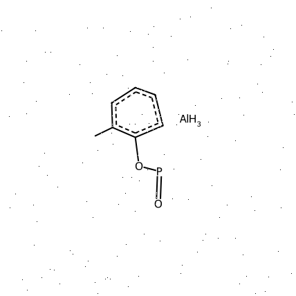 Cc1ccccc1OP=O.[AlH3]